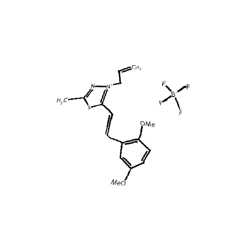 C=CC[n+]1nc(C)sc1C=Cc1cc(OC)ccc1OC.F[B-](F)(F)F